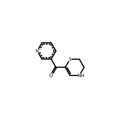 O=C(C1=CNCCS1)c1cccnc1